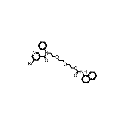 O=C(Nc1cccc2ccccc12)OCCOCCOCCN(C(=O)c1cncc(Br)c1)c1ccccc1